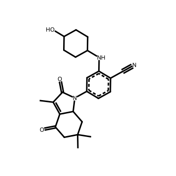 CC1=C2C(=O)CC(C)(C)CC2N(c2ccc(C#N)c(NC3CCC(O)CC3)c2)C1=O